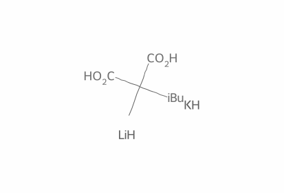 CCC(C)C(C)(C(=O)O)C(=O)O.[KH].[LiH]